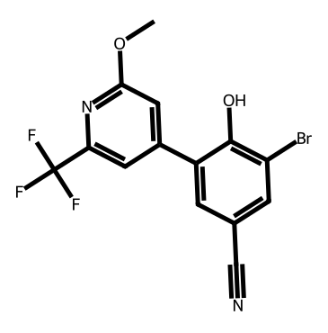 COc1cc(-c2cc(C#N)cc(Br)c2O)cc(C(F)(F)F)n1